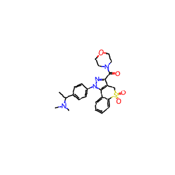 CC(c1ccc(-n2nc(C(=O)N3CCOCC3)c3c2-c2ccccc2S(=O)(=O)C3)cc1)N(C)C